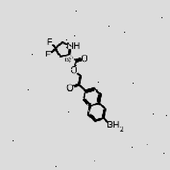 Bc1ccc2cc(C(=O)COC(=O)[C@@H]3CC(F)(F)CN3)ccc2c1